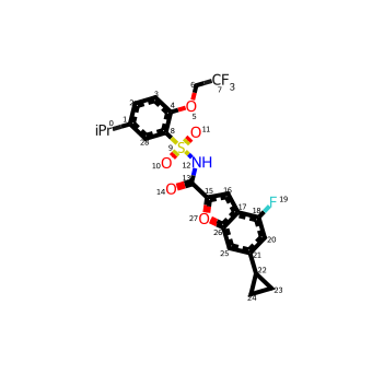 CC(C)c1ccc(OCC(F)(F)F)c(S(=O)(=O)NC(=O)c2cc3c(F)cc(C4CC4)cc3o2)c1